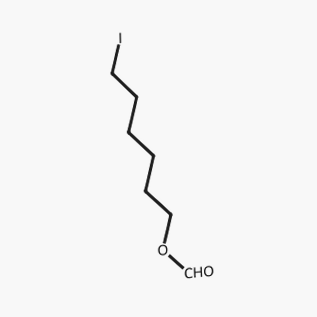 O=COCCCCCCI